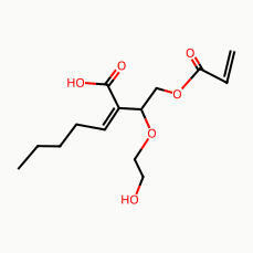 C=CC(=O)OCC(OCCO)C(=CCCCC)C(=O)O